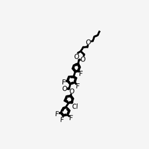 CCCCOCCC1COC(c2ccc(-c3cc(F)c(C(=O)Oc4ccc(-c5cc(F)c(F)c(F)c5)c(Cl)c4)c(F)c3)c(F)c2)OC1